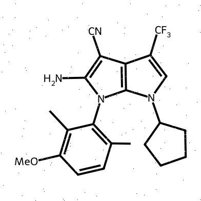 COc1ccc(C)c(-n2c(N)c(C#N)c3c(C(F)(F)F)cn(C4CCCC4)c32)c1C